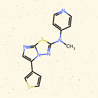 CN(c1ccncc1)c1nn2c(-c3ccsc3)cnc2s1